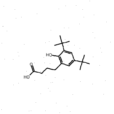 CC(C)(C)c1cc(CCCC(=O)O)c(O)c(C(C)(C)C)c1